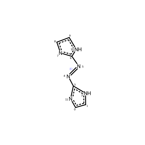 c1c[nH]c(/N=N/c2ncc[nH]2)n1